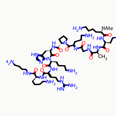 CN[C@@H](CCCCN)C(=O)N[C@@H](CCN)C(=O)N[C@@H](C)C(=O)NCC(=O)/N=C(\CCCN)C(=O)N1CCC[C@H]1C(=O)N[C@@H](Cc1cnc[nH]1)C(=O)N[C@@H](CCCCN)C(=O)N/C(=C\CCNC(=N)N)C(=O)N[C@@H](CCCCN)C(=O)NCCCCN